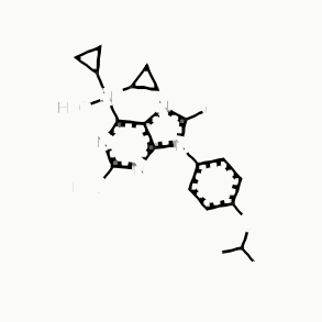 Cc1nc([N+](C)(C2CC2)C2CC2)c2nc(C)n(-c3ccc(OC(F)F)cc3)c2n1